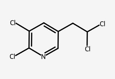 Clc1cc(CC(Cl)Cl)cnc1Cl